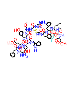 CCCC[C@@H](C(=O)N1CCO[C@@H]1C(=O)N[C@H](C=O)CC(=O)O)N(C)C(=O)C(Cc1ccccc1)N(C)C(=O)[C@H](Cc1cc(F)c(F)c(F)c1)NC(=O)CSC[C@H](NC(=O)[C@H](CCOC)NC(=O)[C@H](Cc1ccc(O)cc1)NC(=O)[C@H](Cc1c[nH]c2ccccc12)NC(=O)[C@H]1C[C@@H](O)CN1C(=O)[C@H](CCC(=O)O)NC(=O)C(Cc1ccccc1)N(C)C(=O)[C@@H](N)C(C)C)C(=O)NCC(N)=O